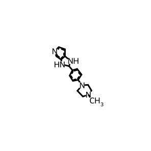 CN1CCN(c2ccc(C3Nc4ccncc4N3)cc2)CC1